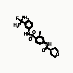 Cc1cc(NC(=O)C2CCOCC2)ccc1S(=O)(=O)Nc1cccc(C(F)(P)P)c1